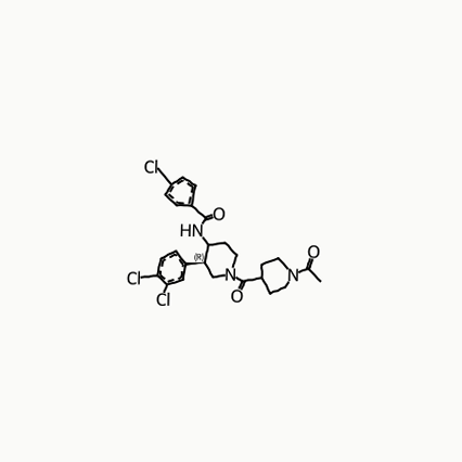 CC(=O)N1CCC(C(=O)N2CCC(NC(=O)c3ccc(Cl)cc3)[C@H](c3ccc(Cl)c(Cl)c3)C2)CC1